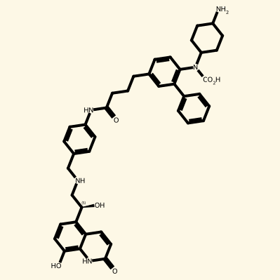 NC1CCC(N(C(=O)O)c2ccc(CCCC(=O)Nc3ccc(CNC[C@@H](O)c4ccc(O)c5[nH]c(=O)ccc45)cc3)cc2-c2ccccc2)CC1